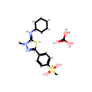 Cn1nc(-c2ccc(S(C)(=O)=O)cc2)sc1=NC1CCCCC1.O=C(O)O